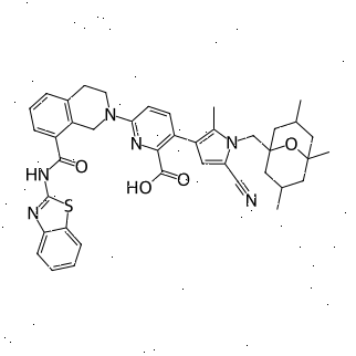 Cc1c(-c2ccc(N3CCc4cccc(C(=O)Nc5nc6ccccc6s5)c4C3)nc2C(=O)O)cc(C#N)n1CC12CC(C)CC(C)(CC(C)C1)O2